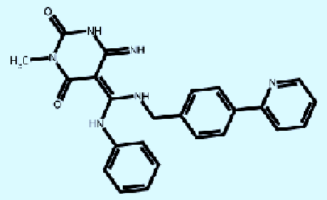 CN1C(=O)NC(=N)/C(=C(\NCc2ccc(-c3ccccn3)cc2)Nc2ccccc2)C1=O